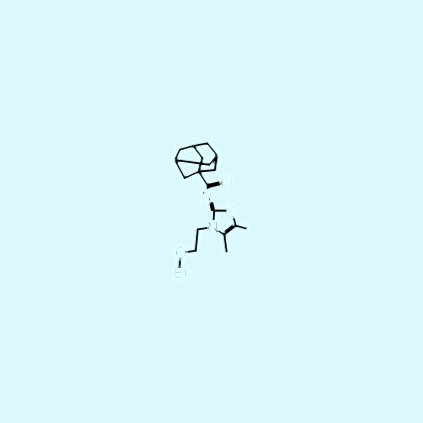 CCOCCn1c(C)c(C)sc1=NC(=O)C12CC3CC(CC(C3)C1)C2